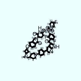 CN(CC1CCN(c2ccc(-c3cnc4[nH]cc(C(=O)c5c(F)ccc(NS(=O)(=O)N6CC[C@@H](F)C6)c5F)c4c3)cc2)CC1)C1CC(Oc2ccc3c(c2)CN([C@H]2CCC(=O)NC2=O)C3=O)C1